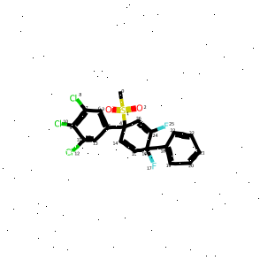 CS(=O)(=O)C1(c2cc(Cl)c(Cl)c(Cl)c2)C=CC(F)(c2ccccc2)C(F)=C1